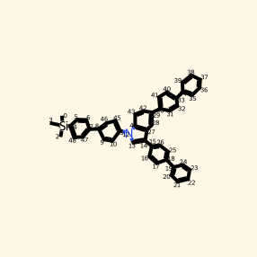 C[Si](C)(C)c1ccc(-c2ccc(-n3cc(-c4ccc(-c5ccccc5)cc4)c4cc(-c5ccc(-c6ccccc6)cc5)ccc43)cc2)cc1